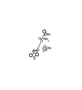 N[C@@H](Cc1c[nH]c2ccccc12)C(=O)OCCCCCONc1cccc2c1C(=O)c1ccccc1C2=O.O=C(O)C(F)(F)F